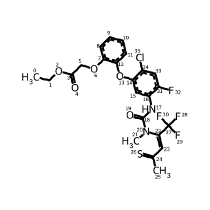 CCOC(=O)COc1ccccc1Oc1cc(NC(=O)N(C)/C(=C\C(C)=S)C(F)(F)F)c(F)cc1Cl